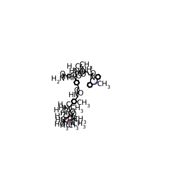 CNC(C(=O)N[C@H](C(=O)N(C)[C@H](/C=C(\C)C(=O)O)C(C)C)C(C)(C)C)C(C)(C)c1ccc(CNC(=O)OCc2ccc(NC(=O)[C@H](CCCNC(N)=O)NC(=O)[C@@H](NC(=O)CCC(=O)N3Cc4ccccc4/C=C(/C)c4ccccc43)C(C)C)cc2)c(C)c1